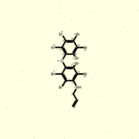 C=CCNc1c(Br)c(Br)c(Oc2c(Br)c(Br)c(Br)c(Br)c2Br)c(Br)c1Br